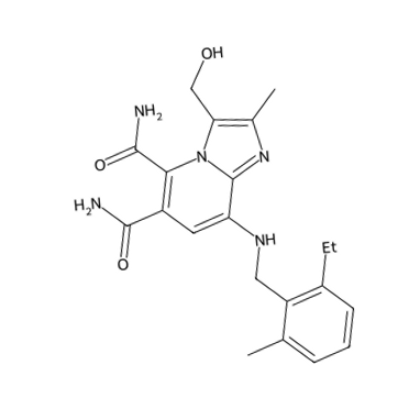 CCc1cccc(C)c1CNc1cc(C(N)=O)c(C(N)=O)n2c(CO)c(C)nc12